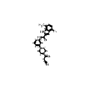 Cc1ccc(F)c2cc(C(=O)Nc3cccc(N4CCN(C(=O)CC#N)CC4)c3)[nH]c12